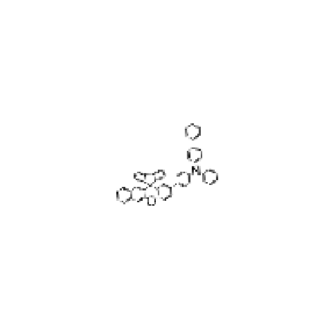 c1ccc(-c2ccc(N(c3ccccc3)c3ccc(-c4ccc5c(c4)C4(c6cc7ccccc7cc6O5)c5ccccc5-c5ccccc54)cc3)cc2)cc1